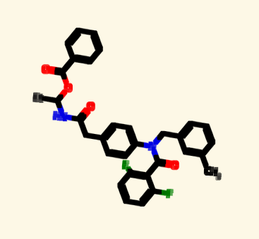 CCC(NC(=O)Cc1ccc(N(Cc2cccc(C)c2)C(=O)c2c(F)cccc2F)cc1)OC(=O)c1ccccc1